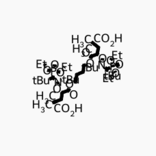 CCOP(=O)(OCC)C(N(OC(CC(C)(C)C(=O)O)C(=O)OCCCCOC(=O)C(CC(C)(C)C(=O)O)ON(C(C(C)(C)C)P(=O)(OCC)OCC)C(C)(C)C)C(C)(C)C)C(C)(C)C